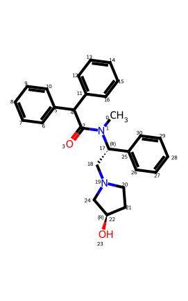 CN(C(=O)C(c1ccccc1)c1ccccc1)[C@@H](CN1CC[C@@H](O)C1)c1ccccc1